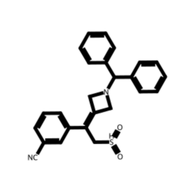 N#Cc1cccc(C(C[SH](=O)=O)=C2CN(C(c3ccccc3)c3ccccc3)C2)c1